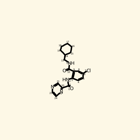 O=C(Nc1ccc(Cl)cc1C(=O)NCC1CCCCC1)c1cnccn1